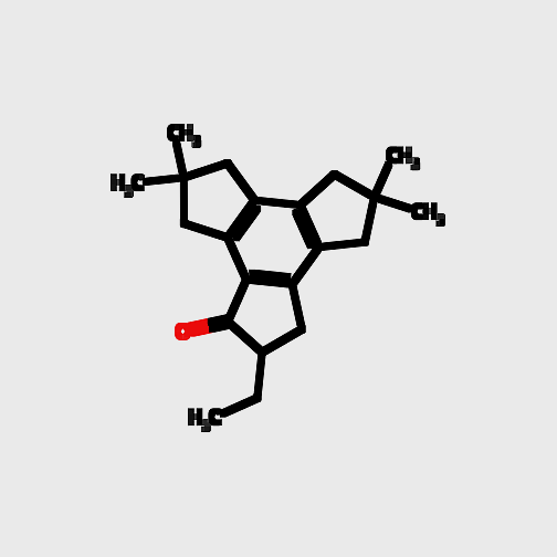 CCC1Cc2c3c(c4c(c2C1=O)CC(C)(C)C4)CC(C)(C)C3